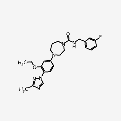 CCOc1cc(N2CCCN(C(=O)NCc3cccc(F)c3)CC2)ccc1-n1cnc(C)n1